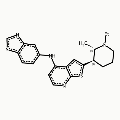 CCN1CCC[C@@H](c2cc3c(Nc4ccc5scnc5c4)ccnc3s2)[C@@H]1C